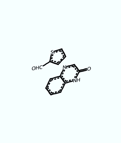 O=Cc1cccs1.O=c1cnc2ccccc2[nH]1